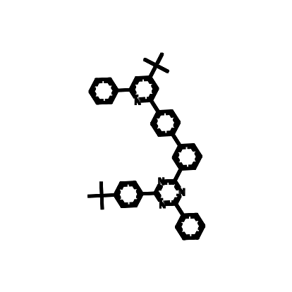 CC(C)(C)c1ccc(-c2nc(-c3ccccc3)nc(-c3cccc(-c4ccc(-c5cc(C(C)(C)C)cc(-c6ccccc6)n5)cc4)c3)n2)cc1